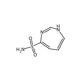 NS(=O)(=O)C1=CC=CNC=N1